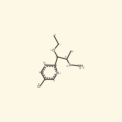 CCOC(c1ncc(Cl)cn1)C(C)SN